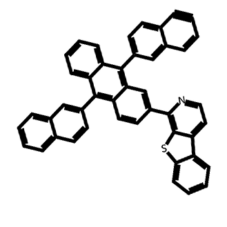 c1ccc2cc(-c3c4ccccc4c(-c4ccc5ccccc5c4)c4ccc(-c5nccc6c5sc5ccccc56)cc34)ccc2c#1